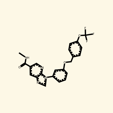 CNC(=O)c1cnc2c(c1)ncn2-c1cccc(OCc2ccc(OC(F)(F)F)cc2)c1